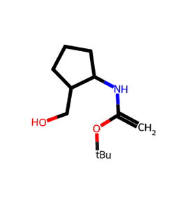 C=C(NC1CCCC1CO)OC(C)(C)C